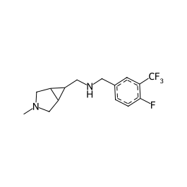 CN1CC2C(CNCc3ccc(F)c(C(F)(F)F)c3)C2C1